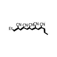 CC=C/C(C#N)=C/C(C#N)=C/C(C#N)=C/C(C#N)=C/C(C#N)=C/CC